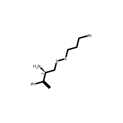 C=C(C(C)C)[C@@H](N)CSSCCCC(C)C